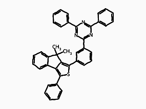 CC1(C)c2ccccc2-c2c(-c3ccccc3)sc(-c3cccc(-c4nc(-c5ccccc5)nc(-c5ccccc5)n4)c3)c21